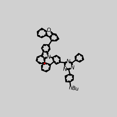 CCCCc1ccc(-c2nc(-c3ccccc3)nc(-c3ccc(-n4c5ccccc5c5ccc(-c6cccc7oc8ccccc8c67)cc54)c(-c4ccccc4)c3)n2)cc1